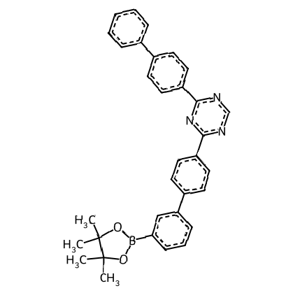 CC1(C)OB(c2cccc(-c3ccc(-c4ncnc(-c5ccc(-c6ccccc6)cc5)n4)cc3)c2)OC1(C)C